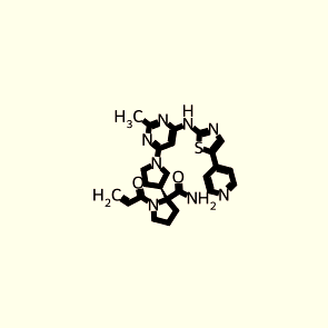 C=CC(=O)N1CCCC1(C(N)=O)[C@H]1CCN(c2cc(Nc3ncc(-c4ccncc4)s3)nc(C)n2)C1